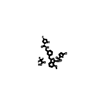 COc1cccc2c1c(NS(=O)(=O)c1ccc(Cl)s1)nn2Cc1cccc(CNC(=O)[C@@H]2C[C@@H](F)CN2)c1.O=C(O)C(F)(F)F